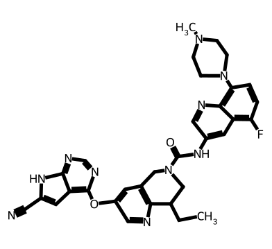 CCC1CN(C(=O)Nc2cnc3c(N4CCN(C)CC4)ccc(F)c3c2)Cc2cc(Oc3ncnc4[nH]c(C#N)cc34)cnc21